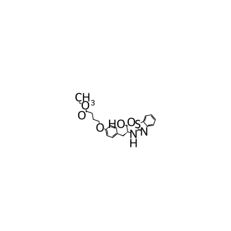 CCOC(=O)CCCOc1ccc(C[C@H](Nc2nc3ccccc3s2)C(=O)O)cc1